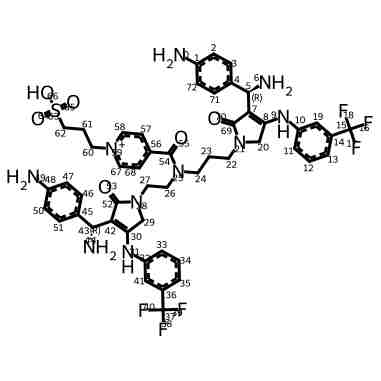 Nc1ccc([C@@H](N)C2=C(Nc3cccc(C(F)(F)F)c3)CN(CCCN(CCN3CC(Nc4cccc(C(F)(F)F)c4)=C([C@H](N)c4ccc(N)cc4)C3=O)C(=O)c3cc[n+](CCCS(=O)(=O)O)cc3)C2=O)cc1